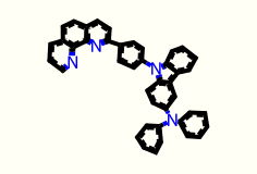 c1ccc(N(c2ccccc2)c2ccc3c(c2)c2ccccc2n3-c2ccc(-c3ccc4ccc5cccnc5c4n3)cc2)cc1